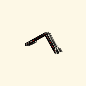 [La+3].[La+3].[La+3].[La+3].[La+3].[La+3].[La+3].[La+3].[La+3].[La+3].[La+3].[La+3].[La+3].[O-2].[O-2].[O-2].[O-2].[O-2].[O-2].[O-2].[O-2].[O-2].[O-2].[O-2].[O-2].[O-2].[O-2].[O-2].[O-2].[O-2].[O-2].[O-2].[O-2].[O-2].[O-2].[O-2].[O-2].[O-2].[O-2].[O-2].[O-2].[O-2].[O-2].[O-2].[O-2].[O-2].[O-2].[O-2].[O-2].[O-2].[O-2].[O-2].[O-2].[O-2].[O-2].[O-2].[O-2].[O-2]